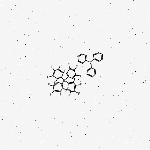 Fc1cc([B-](c2cc(F)c(F)c(F)c2F)(c2cc(F)c(F)c(F)c2F)c2cc(F)c(F)c(F)c2F)c(F)c(F)c1F.c1ccc([C+](c2ccccc2)c2ccccc2)cc1